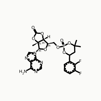 CC1(C)CC(c2cccc(F)c2F)OP(=O)(OC[C@H]2O[C@@H](n3cnc4c(N)ncnc43)[C@]3(C)OC(=O)O[C@H]23)O1